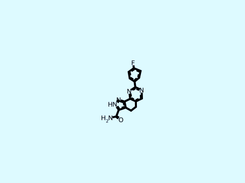 NC(=O)c1[nH]nc2c1CCc1cnc(-c3ccc(F)cc3)nc1-2